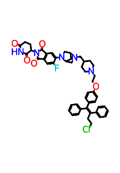 O=C1CCC(N2C(=O)c3cc(F)c(N4CC5CC4CN5CC4CCN(CCOc5ccc(C(=C(CCCl)c6ccccc6)c6ccccc6)cc5)CC4)cc3C2=O)C(=O)N1